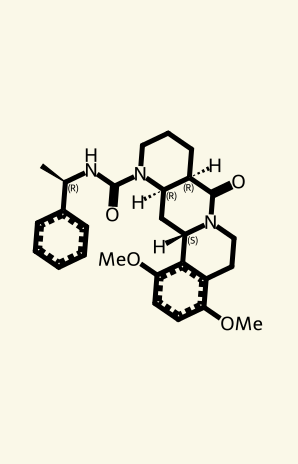 COc1ccc(OC)c2c1CCN1C(=O)[C@@H]3CCCN(C(=O)N[C@H](C)c4ccccc4)[C@@H]3C[C@@H]21